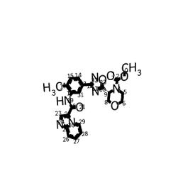 COC(=O)N1CCOC[C@@H]1c1nc(-c2ccc(C)c(NC(=O)c3cnc4ccccn34)c2)no1